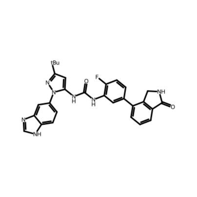 CC(C)(C)c1cc(NC(=O)Nc2cc(-c3cccc4c3CNC4=O)ccc2F)n(-c2ccc3[nH]cnc3c2)n1